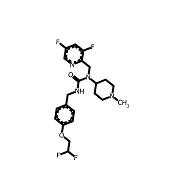 CN1CCC(N(Cc2ncc(F)cc2F)C(=O)NCc2ccc(OCC(F)F)cc2)CC1